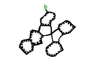 Brc1ccc2c(c1)-c1cc3ccccc3cc1C21c2ccccc2-c2ccccc21